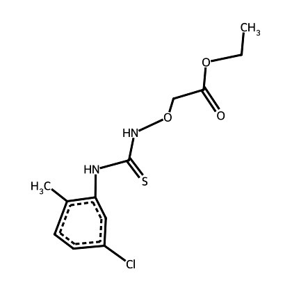 CCOC(=O)CONC(=S)Nc1cc(Cl)ccc1C